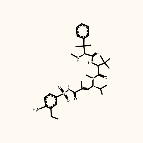 CCc1cc(S(=O)(=O)NC(=O)/C(C)=C/[C@H](C(C)C)N(C)C(=O)C(NC(=O)[C@@H](NC)C(C)(C)c2ccccc2)C(C)(C)C)ccc1N